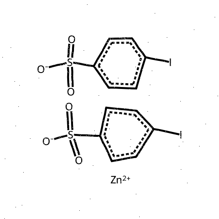 O=S(=O)([O-])c1ccc(I)cc1.O=S(=O)([O-])c1ccc(I)cc1.[Zn+2]